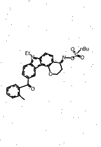 CCCCS(=O)(=O)O/N=C1\CCOc2c1ccc1c2c2cc(C(=O)c3ccccc3C)ccc2n1CC